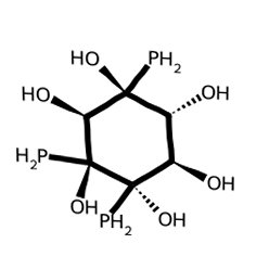 O[C@@H]1[C@@H](O)[C@@](O)(P)[C@](O)(P)[C@@H](O)[C@]1(O)P